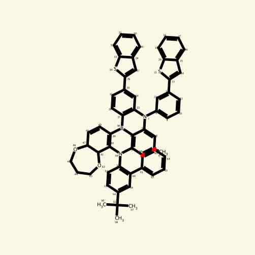 Cc1cc2c3c(c1)N(c1cccc(-c4cc5ccccc5s4)c1)c1cc(-c4cc5ccccc5s4)ccc1B3C1=C(C3OCCCOC3C=C1)N2c1ccc(C(C)(C)C)cc1-c1ccccc1